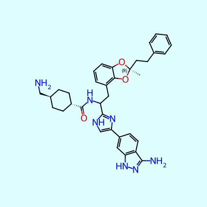 C[C@@]1(CCc2ccccc2)Oc2cccc(CC(NC(=O)[C@H]3CC[C@H](CN)CC3)c3nc(-c4ccc5c(N)n[nH]c5c4)c[nH]3)c2O1